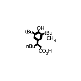 C.CCCCC(CC(=O)O)c1cc(C(C)(C)C)c(O)c(C(C)(C)C)c1